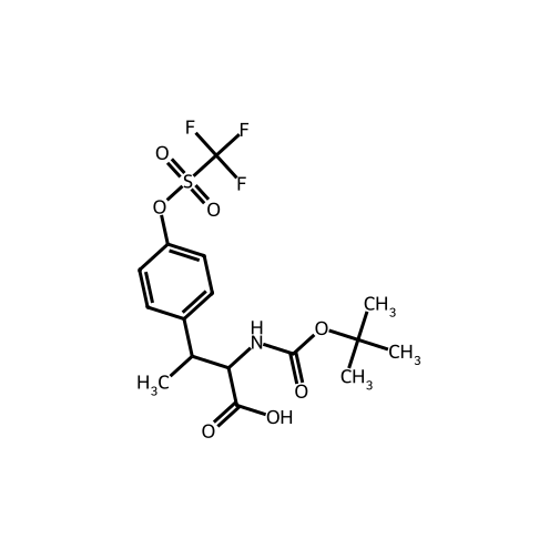 CC(c1ccc(OS(=O)(=O)C(F)(F)F)cc1)C(NC(=O)OC(C)(C)C)C(=O)O